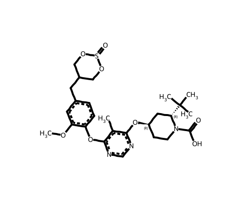 COc1cc(CC2COS(=O)OC2)ccc1Oc1ncnc(O[C@@H]2CCN(C(=O)O)[C@@H](C(C)(C)C)C2)c1C